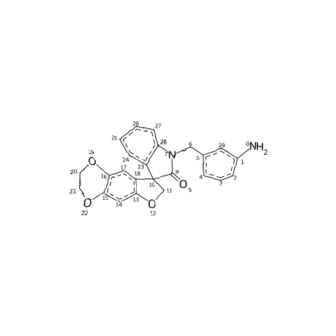 Nc1cccc(CN2C(=O)C3(COc4cc5c(cc43)OCCO5)c3ccccc32)c1